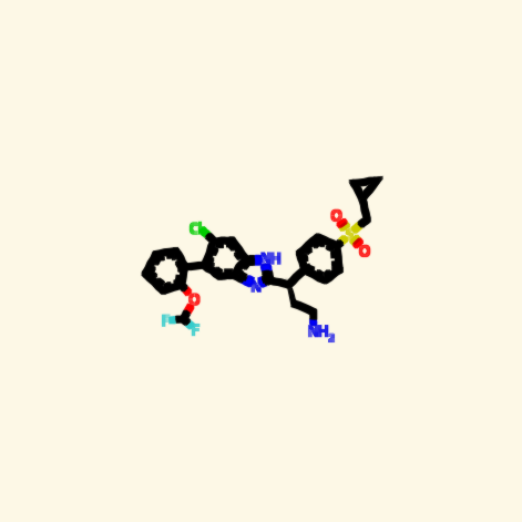 NCC[C@H](c1ccc(S(=O)(=O)CC2CC2)cc1)c1nc2cc(-c3ccccc3OC(F)F)c(Cl)cc2[nH]1